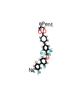 CCCCCC1COC(C2CCC(c3cc(F)c(C(F)(F)Oc4ccc(-c5ccc(C#N)c(F)c5)c(F)c4)c(F)c3)CC2)OC1